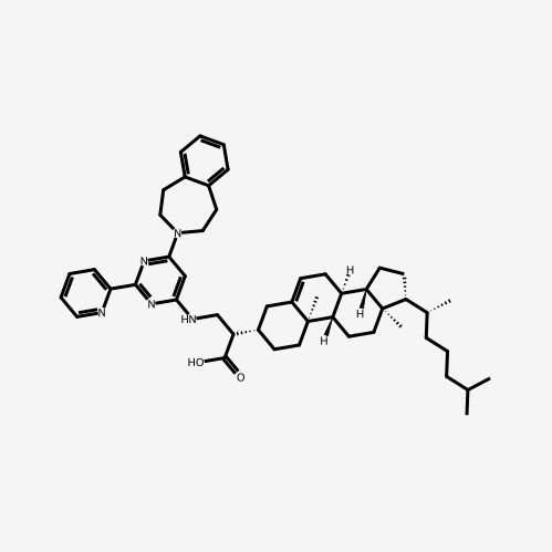 CC(C)CCC[C@@H](C)[C@H]1CC[C@H]2[C@@H]3CC=C4C[C@@H](C(CNc5cc(N6CCc7ccccc7CC6)nc(-c6ccccn6)n5)C(=O)O)CC[C@]4(C)[C@H]3CC[C@]12C